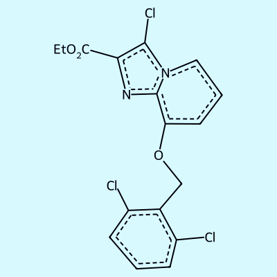 CCOC(=O)c1nc2c(OCc3c(Cl)cccc3Cl)cccn2c1Cl